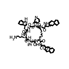 CC(C)[C@@H]1NC(=O)[C@H](CCCCN)NC(=O)[C@@H](Cc2c[nH]c3ccccc23)NC(=O)[C@H](Cc2cccnc2)NC(=O)[C@H](NC(=O)[C@@H](N)Cc2ccc3ccccc3c2)CSSC[C@@H](C(=O)N[C@@H](Cc2ccc3ccccc3c2)C(=O)O)NC1=O